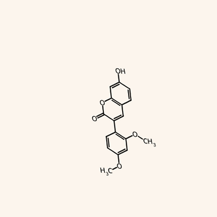 COc1ccc(-c2cc3ccc(O)cc3oc2=O)c(OC)c1